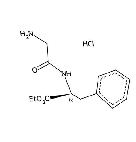 CCOC(=O)[C@H](Cc1ccccc1)NC(=O)CN.Cl